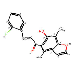 COc1c(C(=O)/C=C/c2ccccc2F)c(O)c(OC)c2occc12